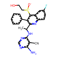 CC(Nc1ncnc(N)c1C#N)c1nc2ccc(F)cc2c([S+]([O-])CCO)c1-c1ccccc1